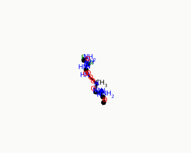 CN(C/C=C/C(=O)N1CCC[C@@H](n2nc(-c3ccc(Oc4ccccc4)cc3)c3c(N)ncnc32)C1)CCOCCOCCNS(=O)(=O)c1ccc(Nc2ncc(Br)c(Nc3cccc(F)c3C(N)=O)n2)cc1